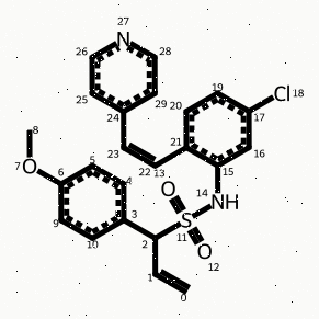 C=CC(c1ccc(OC)cc1)S(=O)(=O)Nc1cc(Cl)ccc1C=Cc1ccncc1